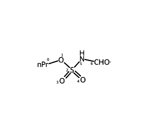 CCCOS(=O)(=O)N[C]=O